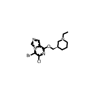 CCN1CCC[C@@H](COc2nc(Cl)c(Br)n3cncc23)C1